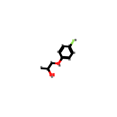 CC(O)COc1ccc(F)cc1